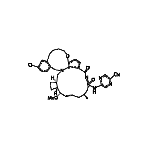 CO[C@H]1/C=C/C[C@H](C)CS(=O)(Nc2cnc(C#N)cn2)=NC(=O)c2ccc3c(c2)N(Cc2ccc(Cl)cc2CCCCO3)C[C@@H]2CC[C@H]21